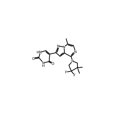 Cc1cnc(N2CC(C)(C)C(F)(F)C2)c2cc(-c3c[nH]c(=O)[nH]c3=O)nn12